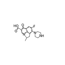 CC1Cc2c(N3CCNCC3)c(F)cc3c(=O)c(C(=O)O)cn1c23